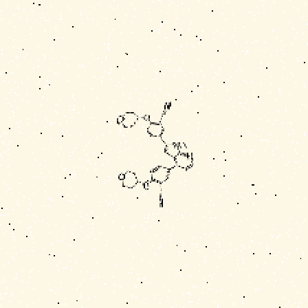 N#Cc1cc(-c2cc3c(-c4ccc(OC5CCOCC5)c(C#N)c4)ccnc3[nH]2)ccc1OC1CCOCC1